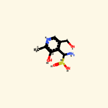 Cc1ncc(CO)c(C(N)S(=O)O)c1O